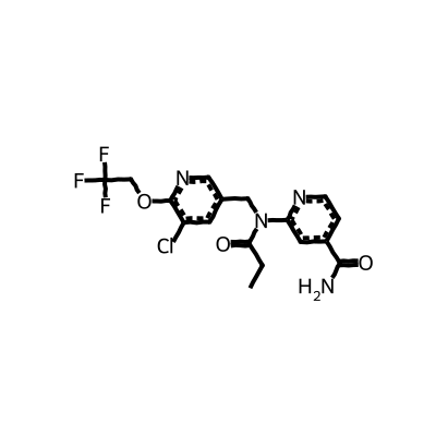 CCC(=O)N(Cc1cnc(OCC(F)(F)F)c(Cl)c1)c1cc(C(N)=O)ccn1